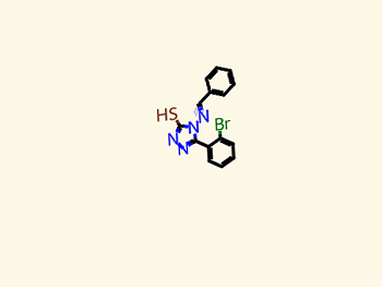 Sc1nnc(-c2ccccc2Br)n1/N=C/c1ccccc1